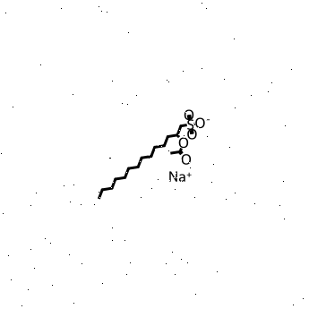 CCCCCCCCCCCCC(CS(=O)(=O)[O-])OC(C)=O.[Na+]